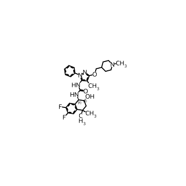 Cc1c(OCC2CCN(C)CC2)nn(-c2ccccc2)c1NC(=O)N[C@@H]1c2cc(F)c(F)cc2C(C)(C)C[C@H]1O